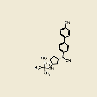 CC(C)(C)N[C@@H]1C[C@@H](C(O)c2ccc(-c3ccc(O)cc3)cc2)C[C@H]1O